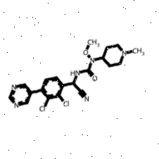 CON(C(=O)NC(C#N)c1ccc(-c2cncnc2)c(Cl)c1Cl)C1CCN(C)CC1